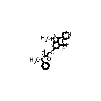 C[C@H](NC(=O)COc1cc(C(F)(F)F)c2c(-c3ccncc3)nn(C)c2n1)c1ccccc1